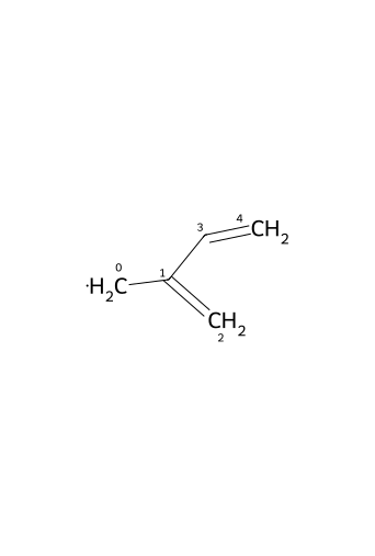 [CH2]C(=C)C=C